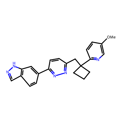 COc1ccc(C2(Cc3ccc(-c4ccc5cn[nH]c5c4)nn3)CCC2)nc1